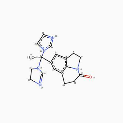 CC(c1cc2c3c(c1)CCN3C(=O)CC2)(N1C=NCC1)n1ccnc1